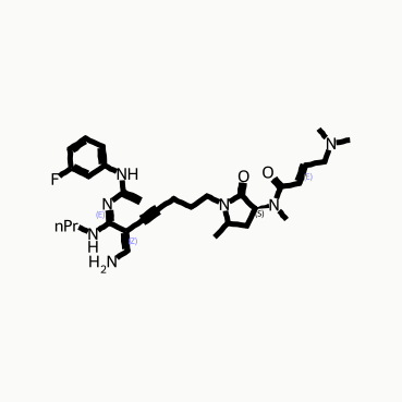 C=C(/N=C(NCCC)\C(C#CCCCN1C(=O)[C@@H](N(C)C(=O)/C=C/CN(C)C)CC1C)=C/N)Nc1cccc(F)c1